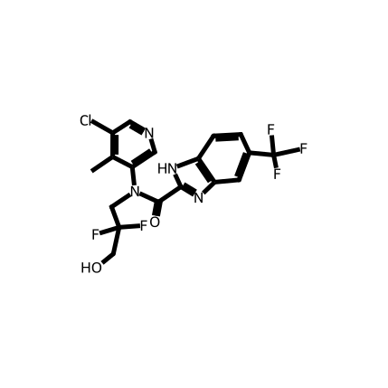 Cc1c(Cl)cncc1N(CC(F)(F)CO)C(=O)c1nc2cc(C(F)(F)F)ccc2[nH]1